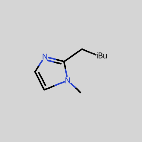 CCC(C)Cc1nccn1C